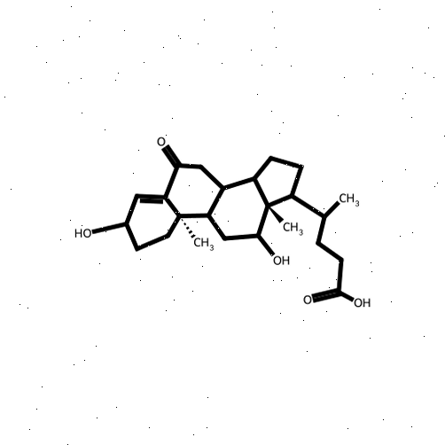 CC(CCC(=O)O)C1CCC2C3CC(=O)C4=CC(O)CC[C@]4(C)C3CC(O)[C@@]12C